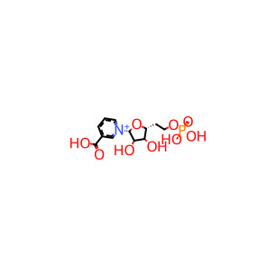 O=C(O)c1ccc[n+]([C@@H]2O[C@H](CCOP(=O)(O)O)[C@@H](O)[C@H]2O)c1